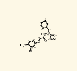 COC(=O)[C@H](Cc1ccccc1)NC(=O)COc1ccc(C)c(Br)c1